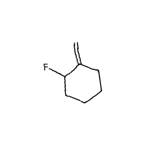 C=C1CCCCC1F